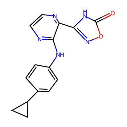 O=c1[nH]c(-c2nccnc2Nc2ccc(C3CC3)cc2)no1